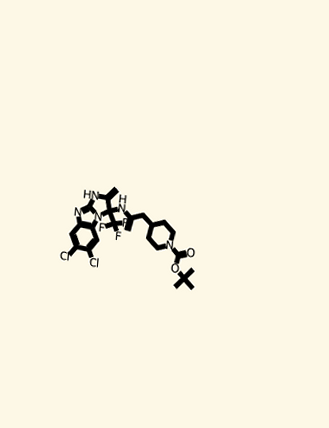 C=C(CC1CCN(C(=O)OC(C)(C)C)CC1)NC1(C(F)(F)F)C(=C)Nc2nc3cc(Cl)c(Cl)cc3n21